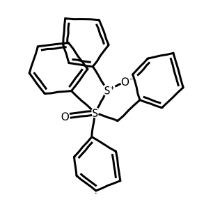 O=S(Cc1ccccc1)(c1cc[c]cc1)(c1ccccc1)[S+]([O-])c1ccccc1